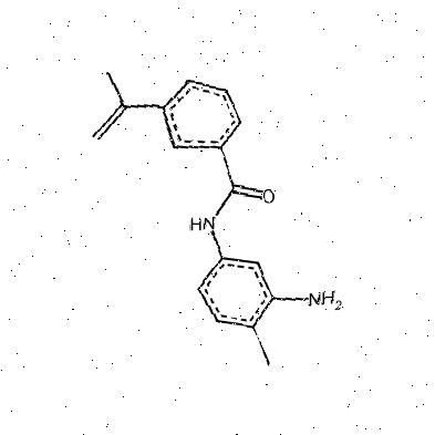 C=C(C)c1cccc(C(=O)Nc2ccc(C)c(N)c2)c1